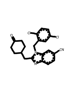 N#Cc1ccc2nc(CC3CCC(=O)CC3)n(Cc3cc(Cl)ccc3Cl)c2c1